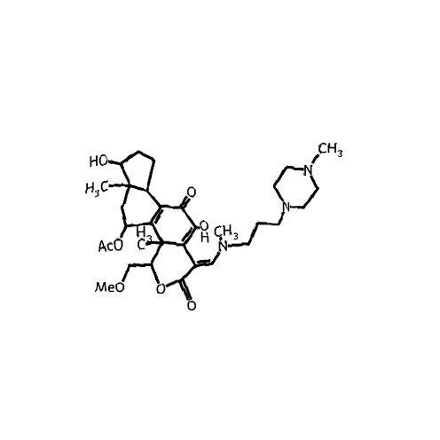 COCC1OC(=O)/C(=C/N(C)CCCN2CCN(C)CC2)C2=C(O)C(=O)C3=C(C(OC(C)=O)CC4(C)C(O)CCC34)C21C